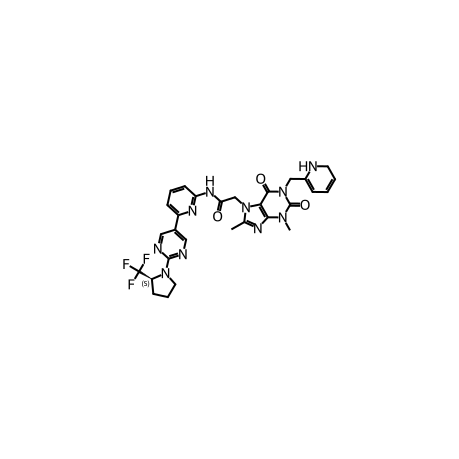 Cc1nc2c(c(=O)n(CC3=CC=CCN3)c(=O)n2C)n1CC(=O)Nc1cccc(-c2cnc(N3CCC[C@H]3C(F)(F)F)nc2)n1